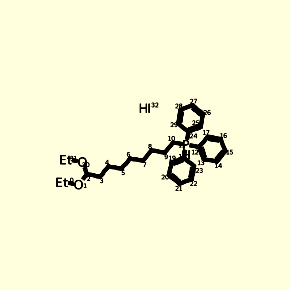 CCOC(CCCCCCCC[PH](c1ccccc1)(c1ccccc1)c1ccccc1)OCC.I